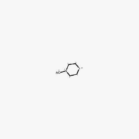 ON1CCSCC1